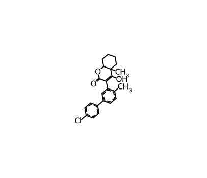 Cc1ccc(-c2ccc(Cl)cc2)cc1C1=C(O)C2(C)CCCCC2OC1=O